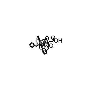 C#CCC1CC(=O)N2[C@H](CN(CC3CCCO3)C(=O)[C@@H]2CCC(=O)O)N1C(=O)NCc1ccccc1